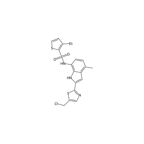 CCc1ccsc1S(=O)(=O)Nc1ccc(C)c2cc(-c3ncc(CCl)s3)[nH]c12